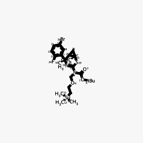 CC(C)(C)OC(=O)N(COCC[Si](C)(C)C)C1=N[C@](C)(c2cc(Br)ccc2F)C2C[C@]2(C=O)S1